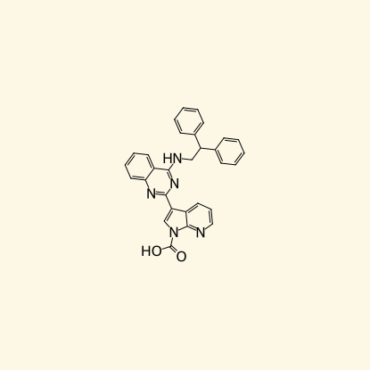 O=C(O)n1cc(-c2nc(NCC(c3ccccc3)c3ccccc3)c3ccccc3n2)c2cccnc21